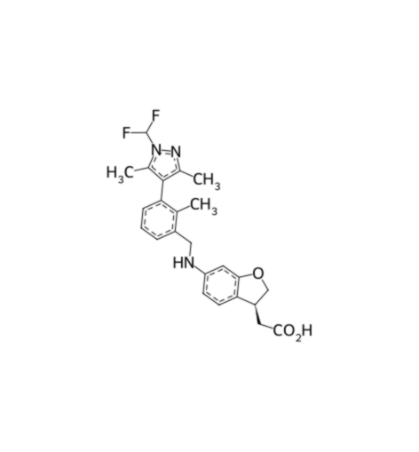 Cc1nn(C(F)F)c(C)c1-c1cccc(CNc2ccc3c(c2)OC[C@H]3CC(=O)O)c1C